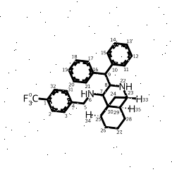 FC(F)(F)c1ccc(CNC2C(C(c3ccccc3)c3ccccc3)N[C@H]3C[C@H]4CCC[C@H]3C24)cc1